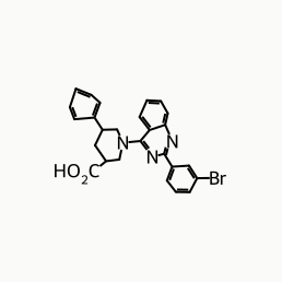 O=C(O)C1CC(c2ccccc2)CN(c2nc(-c3cccc(Br)c3)nc3ccccc23)C1